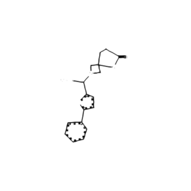 COC(c1ccc(-c2ccccc2)s1)N1CC2(CCC(=O)N2)C1